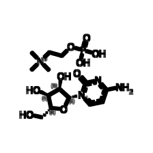 C[N+](C)(C)CCOP(=O)(O)O.Nc1ccn([C@@H]2O[C@H](CO)[C@@H](O)[C@H]2O)c(=O)n1